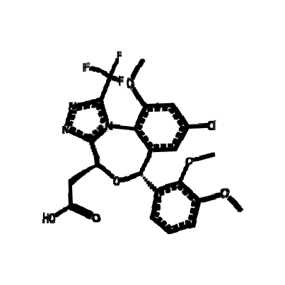 COc1cccc([C@@H]2O[C@@H](CC(=O)O)c3nnc(C(F)(F)F)n3-c3c(OC)cc(Cl)cc32)c1OC